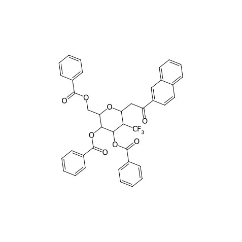 O=C(CC1OC(COC(=O)c2ccccc2)C(OC(=O)c2ccccc2)C(OC(=O)c2ccccc2)C1C(F)(F)F)c1ccc2ccccc2c1